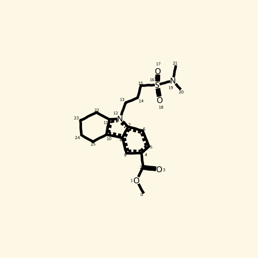 COC(=O)c1ccc2c(c1)c1c(n2CCCS(=O)(=O)N(C)C)CCCC1